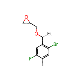 CC[C@@H](OCC1CO1)c1cc(F)c(C)cc1Br